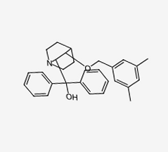 Cc1cc(C)cc(COC2C3CCN(CC3)C2C(O)(c2ccccc2)c2ccccc2)c1